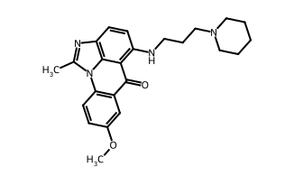 COc1ccc2c(c1)c(=O)c1c(NCCCN3CCCCC3)ccc3nc(C)n2c31